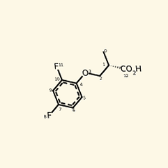 C[C@@H](COc1ccc(F)cc1F)C(=O)O